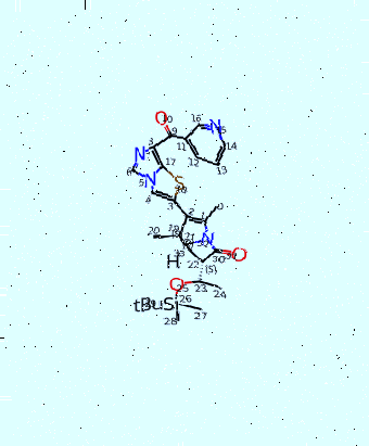 CC1=C(c2cn3cnc(C(=O)c4cccnc4)c3s2)[C@H](C)[C@@H]2[C@@H](C(C)O[Si](C)(C)C(C)(C)C)C(=O)N12